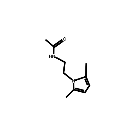 CC(=O)NCCn1c(C)ccc1C